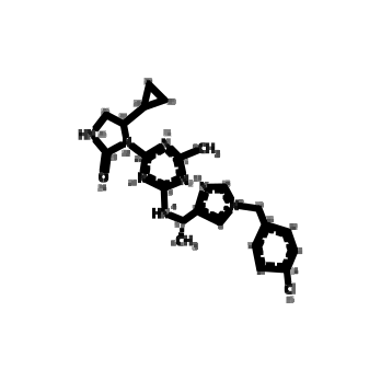 Cc1nc(N[C@@H](C)c2cn(Cc3ccc(Cl)cc3)cn2)nc(N2C(=O)NCC2C2CC2)n1